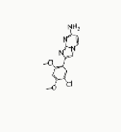 COc1cc(OC)c(-c2cn3ccc(N)nc3n2)cc1Cl